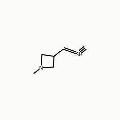 C#[SH]=CC1CN(C)C1